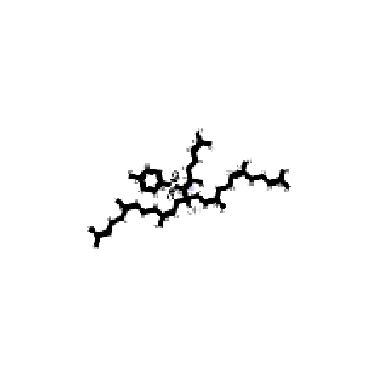 CC(C)=CCCC(C)=CCCC(C)=CCC(O)(CC=C(C)CCC=C(C)CCC=C(C)C)/C(=C(\C)CCC=C(C)C)S(=O)(=O)c1ccc(C)cc1